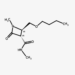 CCCCOC[C@H]1[C@H](C(=O)NC)C(=O)N1C